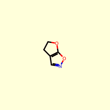 c1noc2c1CCO2